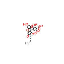 CCCCCCc1cc2c(-c3cc(C(=O)O)c(C(=O)O)cc3C(=O)O)c3ccc(O)cc3oc-2cc1=O